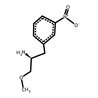 COC[C@@H](N)Cc1cccc([N+](=O)[O-])c1